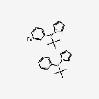 CC(C)(C)P(c1ccccc1)[c-]1cccc1.CC(C)(C)P(c1ccccc1)[c-]1cccc1.[Fe+2]